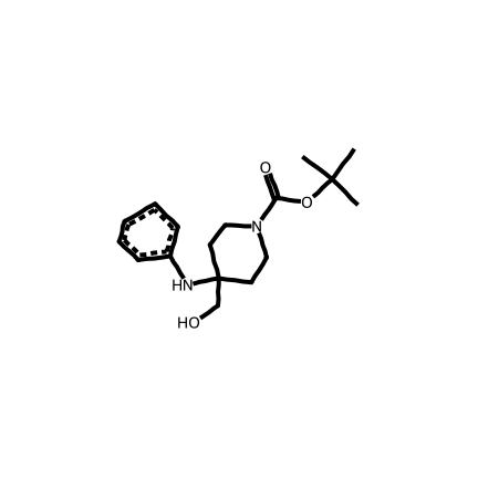 CC(C)(C)OC(=O)N1CCC(CO)(Nc2ccccc2)CC1